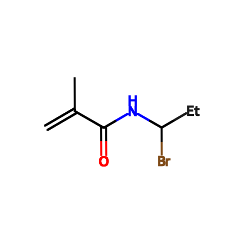 C=C(C)C(=O)NC(Br)CC